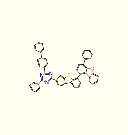 c1ccc(-c2ccc(-c3nc(-c4ccccc4)nc(-c4ccc5c(c4)sc4c(-c6ccc(-c7ccccc7)c7oc8ccccc8c67)cccc45)n3)cc2)cc1